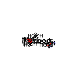 C/C=C(/C)C(=O)O[C@H]1[C@H](OC(=O)/C(C)=C\C)[C@@]2(CO)C(CC1(C)C)C1=CCC3[C@@]4(C)CC[C@H](O[C@@H]5OC(C(=O)O)[C@@H](O)[C@@H](OC6OC(CO)C(O)C6O)C5O[C@@H]5OC(CO)[C@@H](O)[C@@H](O)C5O)[C@](C)(CO)C4CC[C@@]3(C)[C@]1(C)[C@@H](O)[C@H]2O